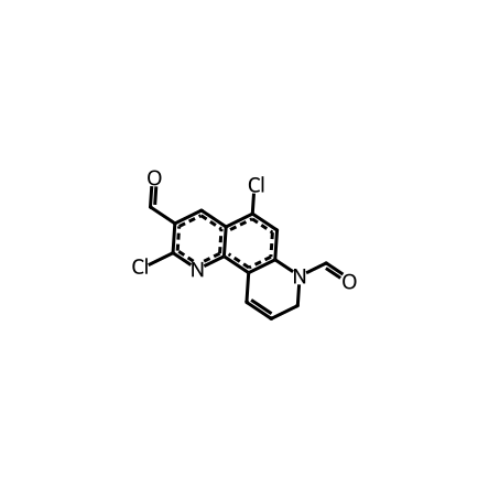 O=Cc1cc2c(Cl)cc3c(c2nc1Cl)C=CCN3C=O